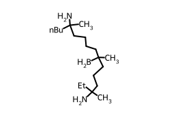 BC(C)(CCCCC(C)(N)CCCC)CCCC(C)(N)CC